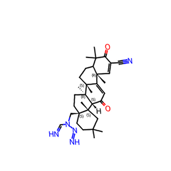 CC1(C)CC[C@]2(CN(C=N)N=N)CC[C@]3(C)[C@H](C(=O)C=C4[C@@]5(C)C=C(C#N)C(=O)C(C)(C)C5CC[C@]43C)[C@]2(C)C1